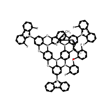 C=C/C=C\c1sc2c(c1C)Oc1cc(-n3c4c(F)cccc4c4cccc(F)c43)cc3c1B2c1cc2c(cc1N3c1c(F)cccc1F)N(c1c(F)cccc1F)c1cc(-n3c4ccccc4c4ccccc43)cc3c1B2c1cc2c(cc1O3)Oc1cc(-n3c4c(F)cccc4c4cccc(F)c43)cc3c1B2c1sc2ccccc2c1O3